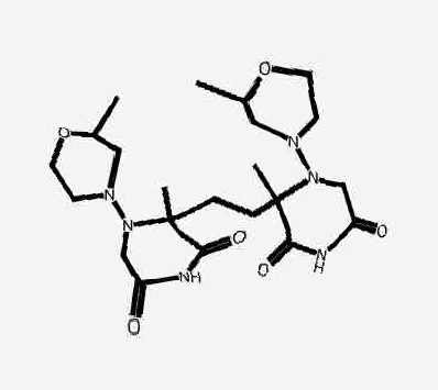 CC1CN(N2CC(=O)NC(=O)C2(C)CCC2(C)C(=O)NC(=O)CN2N2CCOC(C)C2)CCO1